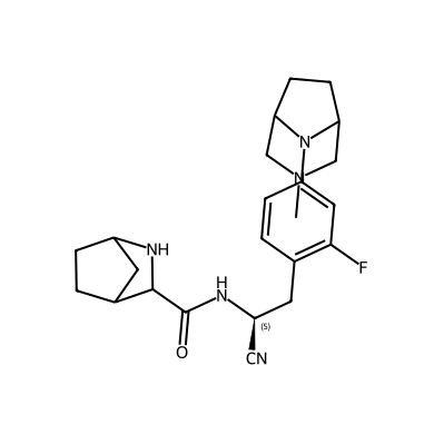 CN1CC2CCC(C1)N2c1ccc(C[C@@H](C#N)NC(=O)C2NC3CCC2C3)c(F)c1